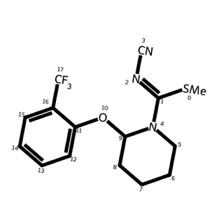 CSC(=NC#N)N1CCCCC1Oc1ccccc1C(F)(F)F